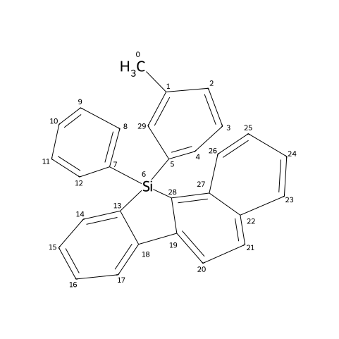 Cc1cccc([Si]2(c3ccccc3)c3ccccc3-c3ccc4ccccc4c32)c1